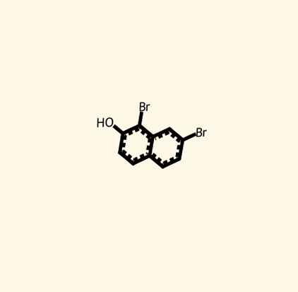 Oc1ccc2ccc(Br)cc2c1Br